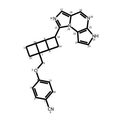 N#Cc1ccc(OCC23C4C5C2C2C3C4C52c2ncc3cnc4[nH]ccc4n23)cc1